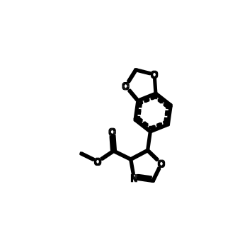 COC(=O)C1N=COC1c1ccc2c(c1)OCO2